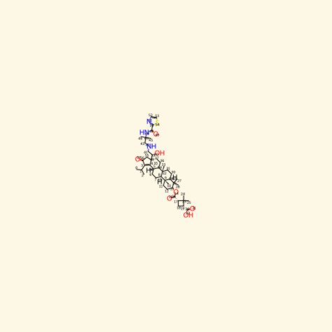 CC(C)C1=C2[C@H]3CC[C@@H]4[C@@]5(C)CC[C@H](OC(=O)[C@H]6C[C@@H](C(=O)O)C6(C)C)C(C)(C)[C@@H]5CC[C@@]4(C)[C@]3(C)CC[C@@]2([C@@H](O)CNCC(C)(C)NC(=O)c2nccs2)CC1=O